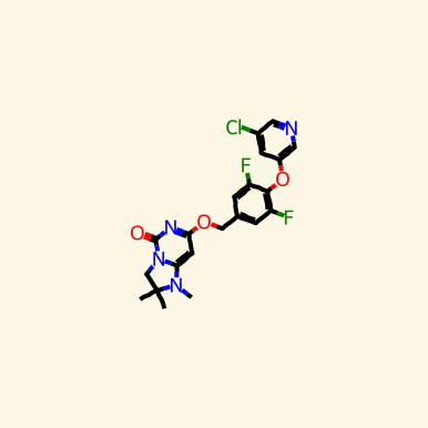 CN1c2cc(OCc3cc(F)c(Oc4cncc(Cl)c4)c(F)c3)nc(=O)n2CC1(C)C